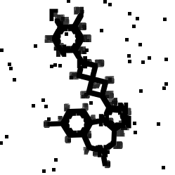 Cc1ccc2c(c1)CN(C)Cc1nnc(C3CC4(C3)CN(c3cc(C)c(F)cn3)C4)n1-2